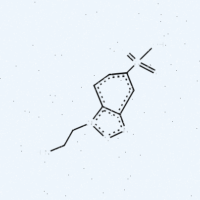 NCCn1nnc2cc(S(=O)(=O)O)ccc21